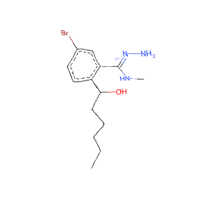 CCCCCC(O)c1ccc(Br)cc1/C(=N/N)NC